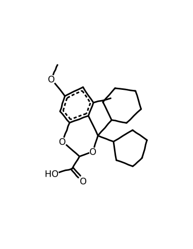 COc1cc(C)c2c(c1)OC(C(=O)O)OC2(C1CCCCC1)C1CCCCC1